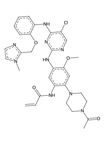 C=CC(=O)Nc1cc(Nc2ncc(Cl)c(Nc3ccccc3OCc3nccn3C)n2)c(OC)cc1N1CCN(C(C)=O)CC1